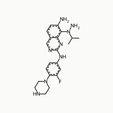 CC(C)N(N)c1c(N)ccc2cnc(Nc3ccc(N4CCNCC4)c(F)c3)nc12